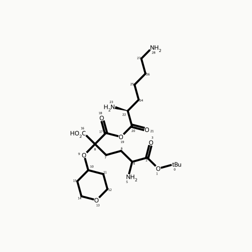 CC(C)(C)OC(=O)C(N)CCC(OC1CCOCC1)(C(=O)O)C(=O)OC(=O)[C@@H](N)CCCCN